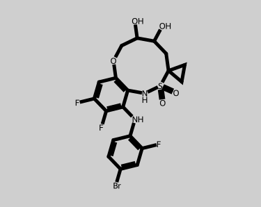 O=S1(=O)Nc2c(cc(F)c(F)c2Nc2ccc(Br)cc2F)OCC(O)C(O)CC12CC2